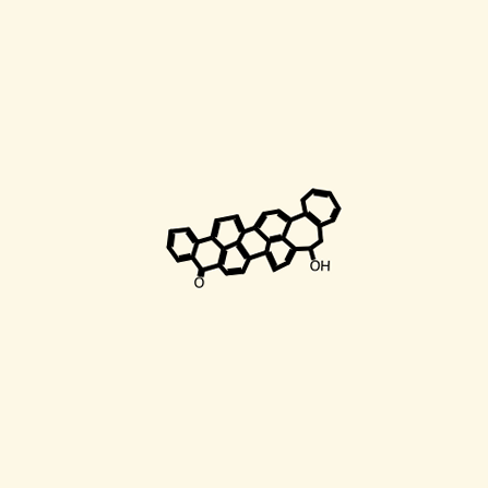 O=C1c2ccccc2-c2ccc3c4ccc5c6c(ccc(c7ccc1c2c37)c64)C(O)CC1=C5CC=CC=C1